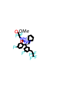 COC(=O)C(F)(F)CNC(=O)N[C@](Cc1ccccc1)(c1ccc(F)cc1)c1cc(F)cc(CC(F)(F)C(F)F)c1